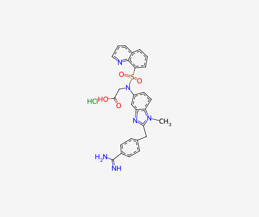 Cl.Cn1c(Cc2ccc(C(=N)N)cc2)nc2cc(N(CC(=O)O)S(=O)(=O)c3cccc4cccnc34)ccc21